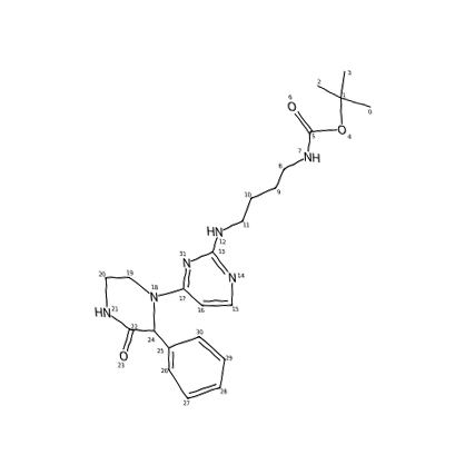 CC(C)(C)OC(=O)NCCCCNc1nccc(N2CCNC(=O)C2c2ccccc2)n1